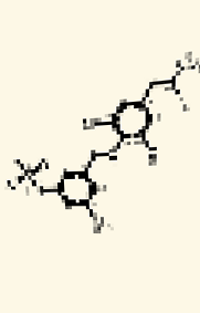 CS(=O)(=O)Nc1cc(COc2c(Cl)cc(CC(F)C(=O)O)cc2Cl)cc(C(F)(F)F)c1